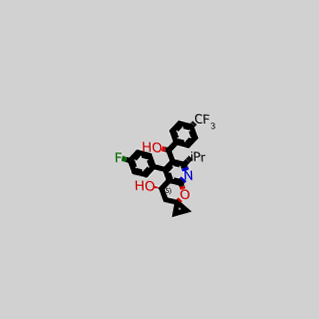 CC(C)c1nc2c(c(-c3ccc(F)cc3)c1C(O)c1ccc(C(F)(F)F)cc1)[C@@H](O)CC1(CC1)O2